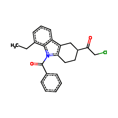 CCc1cccc2c3c(n(C(=O)c4ccccc4)c12)CCC(C(=O)CCl)C3